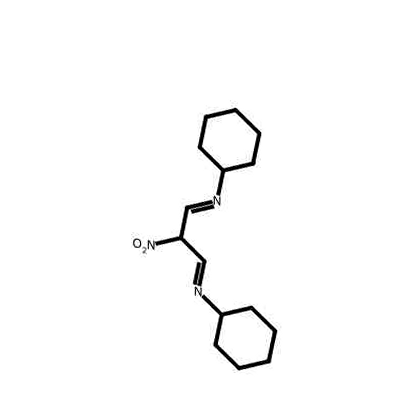 O=[N+]([O-])C(C=NC1CCCCC1)C=NC1CCCCC1